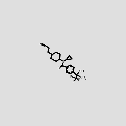 CC(O)(c1ccc(C(=O)N(C2CCC(CCC#N)CC2)C2CC2)cc1)C(F)(F)F